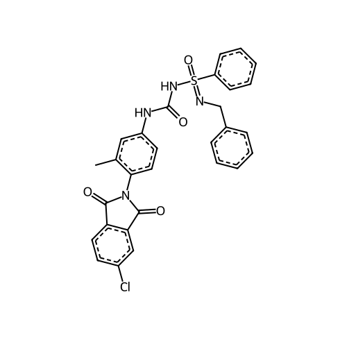 Cc1cc(NC(=O)NS(=O)(=NCc2ccccc2)c2ccccc2)ccc1N1C(=O)c2ccc(Cl)cc2C1=O